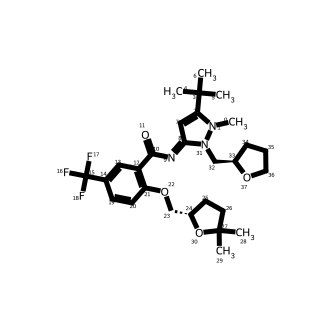 Cn1c(C(C)(C)C)cc(=NC(=O)c2cc(C(F)(F)F)ccc2OC[C@@H]2CCC(C)(C)O2)n1C[C@H]1CCCO1